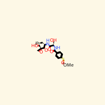 COOSc1ccc(C(=O)N[C@@H](CO)C(=O)N[C@@H](CC(C)C)C(=O)[C@@]2(CO)CO2)cc1